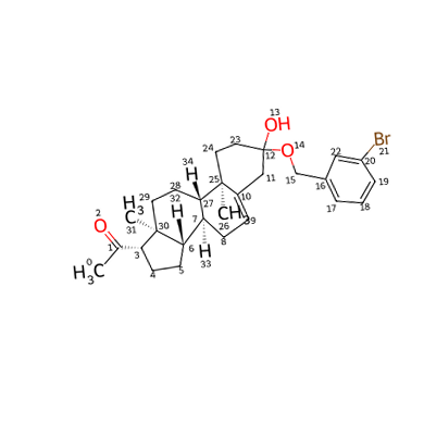 CC(=O)[C@H]1CC[C@H]2[C@@H]3CC=C4CC(O)(OCc5cccc(Br)c5)CC[C@]4(C)[C@H]3CC[C@]12C